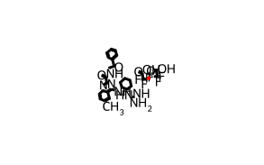 Cc1ccc2nc(C(=O)NCC(=O)c3ccccc3)nc(NC3CCCCC3NC(=N)N)c2c1.O=C(O)C(F)(F)F.O=C(O)C(F)(F)F